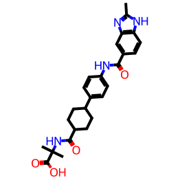 Cc1nc2cc(C(=O)Nc3ccc(C4CCC(C(=O)NC(C)(C)C(=O)O)CC4)cc3)ccc2[nH]1